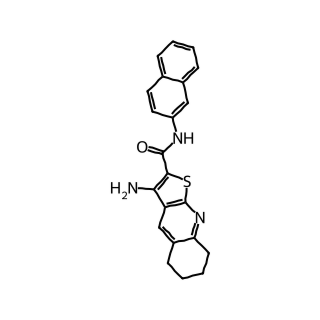 Nc1c(C(=O)Nc2ccc3ccccc3c2)sc2nc3c(cc12)CCCC3